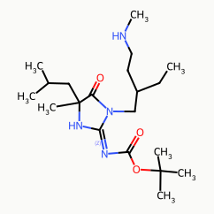 CCC(CCNC)CN1C(=O)C(C)(CC(C)C)N/C1=N/C(=O)OC(C)(C)C